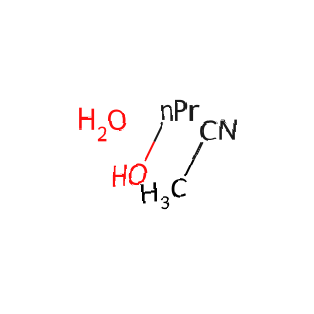 CC#N.CCCO.O